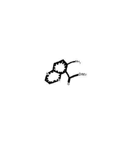 COC(=O)c1c(N)ccc2nccnc12